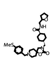 CSc1ccc(CN2CCC3(CC2)CN(C[C@H]2CC[C@H](C(=O)NCC4CCCO4)CC2)C(=O)O3)cc1